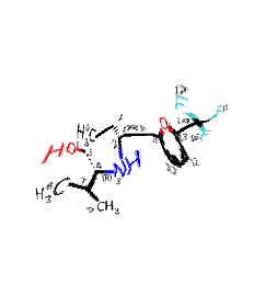 CC[C@@H](N[C@@H](CO)C(C)C)c1ccc(C(F)(F)F)o1